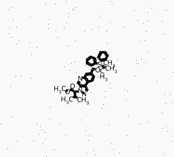 COC(=O)C(C(C)C)n1ncc2c3ccc(CO[Si](c4ccccc4)(c4ccccc4)C(C)(C)C)cc3ncc21